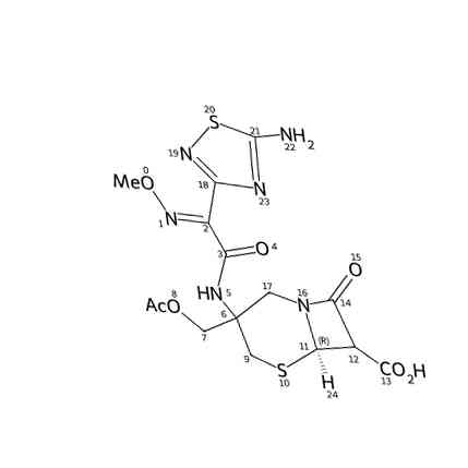 CON=C(C(=O)NC1(COC(C)=O)CS[C@@H]2C(C(=O)O)C(=O)N2C1)c1nsc(N)n1